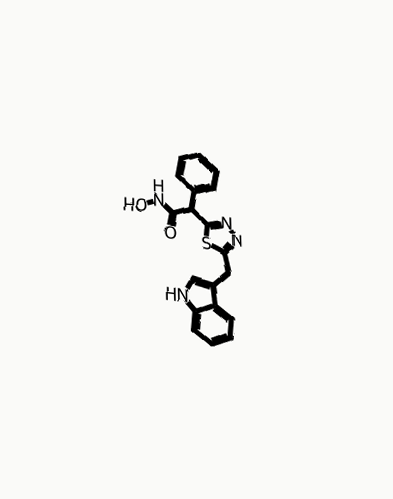 O=C(NO)C(c1ccccc1)c1nnc(Cc2c[nH]c3ccccc23)s1